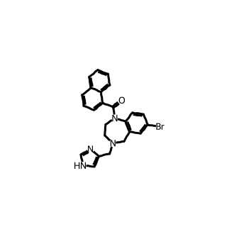 O=C(c1cccc2ccccc12)N1CCN(Cc2c[nH]cn2)Cc2cc(Br)ccc21